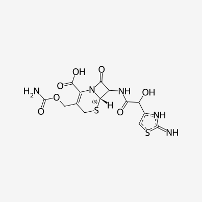 N=c1[nH]c(C(O)C(=O)NC2C(=O)N3C(C(=O)O)=C(COC(N)=O)CS[C@@H]23)cs1